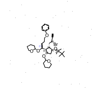 C#C[C@H](Br)C[C@H]1[C@H](/C(=C\CCOc2ccccc2)OC2CCCCO2)[C@@H](OC2CCCCO2)C[C@H]1O[Si](C)(C)C(C)(C)C